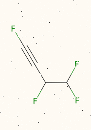 FC#CC(F)C(F)F